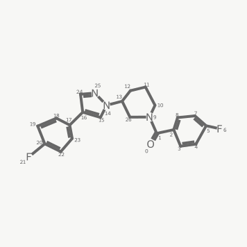 O=C(c1ccc(F)cc1)N1CCCC(n2cc(-c3ccc(F)cc3)cn2)C1